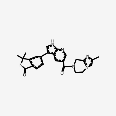 Cc1cn2c(n1)CN(C(=O)c1cnc3[nH]cc(-c4ccc5c(c4)C(C)(C)NC5=O)c3c1)CC2